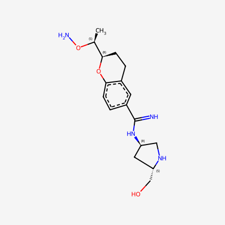 C[C@H](ON)[C@H]1CCc2cc(C(=N)N[C@H]3CN[C@H](CO)C3)ccc2O1